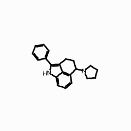 c1ccc(-c2[nH]c3cccc4c3c2CCC4N2CCCC2)cc1